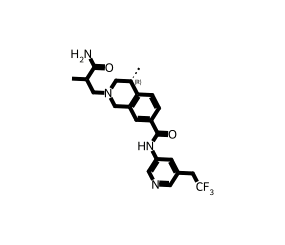 CC(CN1Cc2cc(C(=O)Nc3cncc(CC(F)(F)F)c3)ccc2[C@@H](C)C1)C(N)=O